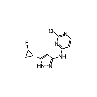 F[C@@H]1C[C@H]1c1cc(Nc2ccnc(Cl)n2)n[nH]1